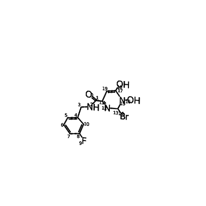 O=C(NCc1cccc(F)c1)C1=NC(Br)N(O)C(O)=C1